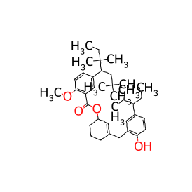 CCC(c1ccc(O)c(CC2=CC(OC(=O)c3cc(C(CC(C)(C)C)C(C)(C)CC)ccc3OC)CCC2)c1)C(C)C